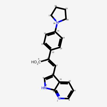 O=C(O)/C(=C\c1c[nH]c2ncccc12)c1ccc(N2CCCC2)cc1